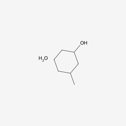 CC1CCCC(O)C1.O